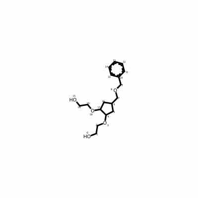 OCCOC1CC(COCc2ccccc2)CC1OCCO